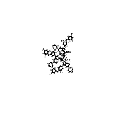 CC(C)(C)C(OP(=O)(OC(n1cc(-c2ccn(Cc3cc(F)cc(I)c3)c(=O)c2)c2cc(N3CCOCC3)cnc21)(C(C)(C)C)C(C)(C)C)OC(n1cc(-c2ccn(Cc3cc(F)cc(I)c3)c(=O)c2)c2cc(N3CCOCC3)cnc21)(C(C)(C)C)C(C)(C)C)(n1cc(-c2ccn(Cc3cc(F)cc(I)c3)c(=O)c2)c2cc(N3CCOCC3)cnc21)C(C)(C)C